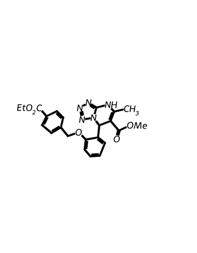 CCOC(=O)c1ccc(COc2ccccc2C2C(C(=O)OC)=C(C)Nc3nnnn32)cc1